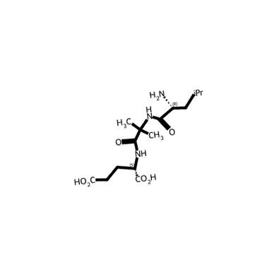 CC(C)C[C@@H](N)C(=O)NC(C)(C)C(=O)N[C@@H](CCC(=O)O)C(=O)O